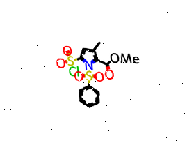 COC(=O)c1c(C)cc(S(=O)(=O)Cl)n1S(=O)(=O)c1ccccc1